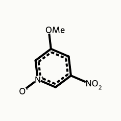 COc1cc([N+](=O)[O-])c[n+]([O-])c1